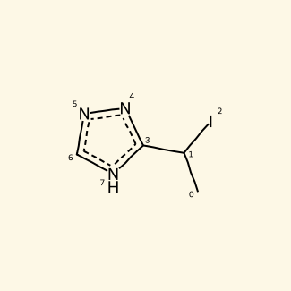 CC(I)c1nnc[nH]1